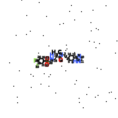 CN(CCc1ccc(C2=NCCN2)cc1)C(=O)CCNCS(=O)(=O)c1ccc(F)c(F)c1